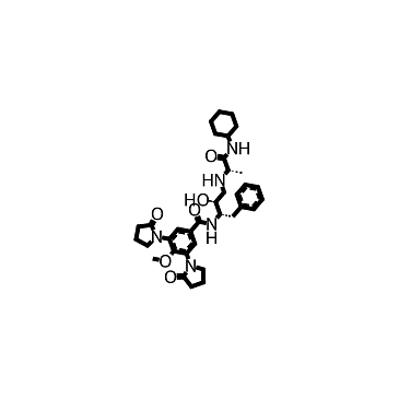 COc1c(N2CCCC2=O)cc(C(=O)N[C@@H](Cc2ccccc2)[C@H](O)CN[C@@H](C)C(=O)NC2CCCCC2)cc1N1CCCC1=O